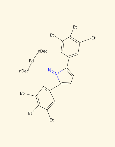 CCCCCCCCC[CH2][Pd][CH2]CCCCCCCCC.CCc1cc(C2=CC=C(c3cc(CC)c(CC)c(CC)c3)[N+]2=[N-])cc(CC)c1CC